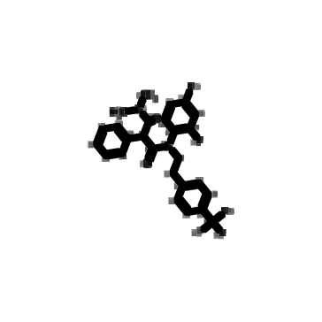 CN(C)C(=O)C(C(=O)N(CCc1ccc(C(F)(F)F)cc1)c1ccc(F)cc1F)c1ccccc1